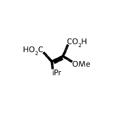 COC(C(=O)O)=C(C(=O)O)C(C)C